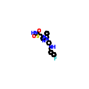 O=C1NC(=O)/C(=C/c2ccnc(N(Cc3ccccc3)[C@H]3CC[C@H](NCc4ccc5cc(F)ccc5c4)CC3)n2)S1